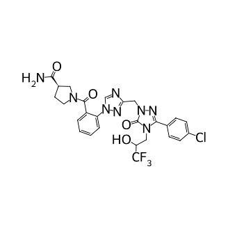 NC(=O)[C@@H]1CCN(C(=O)c2ccccc2-n2cnc(Cn3nc(-c4ccc(Cl)cc4)n(CC(O)C(F)(F)F)c3=O)n2)C1